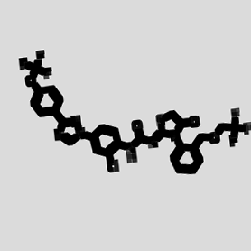 O=C(N=C1SCC(=O)N1c1ccccc1COCC(F)(F)F)Nc1ccc(-n2cnc(-c3ccc(OC(F)(F)F)cc3)n2)cc1Cl